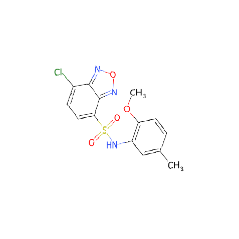 COc1ccc(C)cc1NS(=O)(=O)c1ccc(Cl)c2nonc12